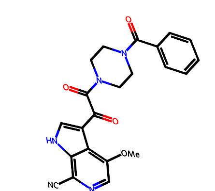 COc1cnc(C#N)c2[nH]cc(C(=O)C(=O)N3CCN(C(=O)c4ccccc4)CC3)c12